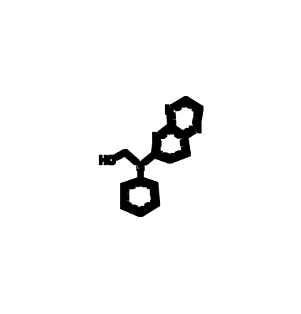 OCN(c1ccccc1)c1ccc2nccnc2n1